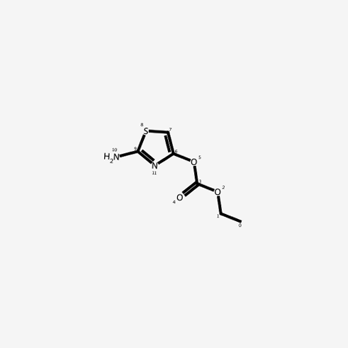 CCOC(=O)Oc1csc(N)n1